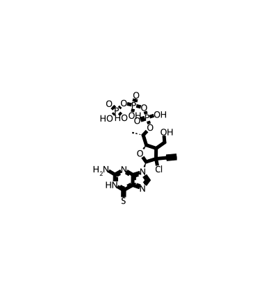 C#CC1(Cl)C(CO)[C@@H]([C@H](C)OP(=O)(O)OP(=O)(O)OP(=O)(O)O)O[C@H]1n1cnc2c(=S)[nH]c(N)nc21